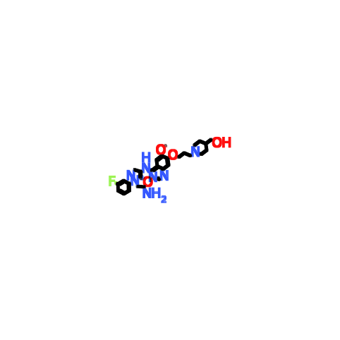 COc1cc2c(NC3=C[N+](CC(N)=O)(c4cccc(F)c4)N=C3)ncnc2cc1OCCCN1CCC(CO)CC1